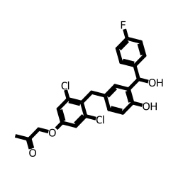 CC(=O)COc1cc(Cl)c(Cc2ccc(O)c(C(O)c3ccc(F)cc3)c2)c(Cl)c1